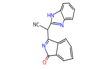 N#CC(C1=NC(=O)c2ccccc21)c1nc2ccccc2[nH]1